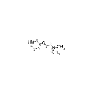 CN(C)CCOC1CCCNC1